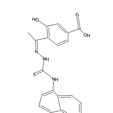 C/C(=N/NC(=S)Nc1cccc2ccccc12)c1ccc(C(=O)O)cc1O